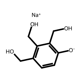 [Na+].[O-]c1ccc(CO)c(CO)c1CO